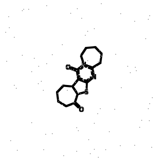 O=C1CCCCC2c3c(nc4n(c3=O)CCCCC4)SC12